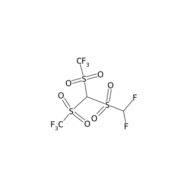 O=S(=O)(C(F)F)C(S(=O)(=O)C(F)(F)F)S(=O)(=O)C(F)(F)F